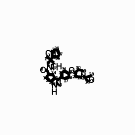 CCC(CC)(CNC(=O)c1ccc2[nH]nc(-c3ccc(OC4CCN(C5COC5)CC4)cc3)c2c1)c1ccccc1